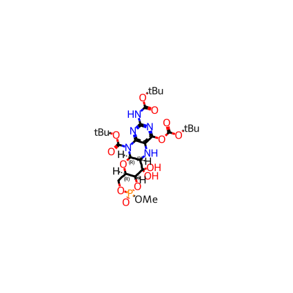 COP1(=O)OC[C@H]2O[C@@H]3[C@@H](Nc4c(OC(=O)OC(C)(C)C)nc(NC(=O)OC(C)(C)C)nc4N3C(=O)OC(C)(C)C)C(O)(O)[C@H]2O1